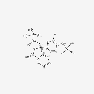 CC(C)(C)[S+]([O-])N[C@]1(c2ccc(OC(F)(F)F)c(F)c2)CC(=O)c2cccnc21